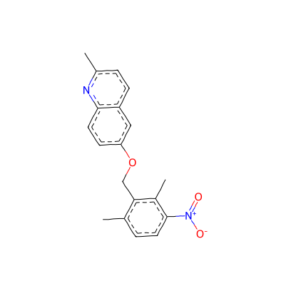 Cc1ccc2cc(OCc3c(C)ccc([N+](=O)[O-])c3C)ccc2n1